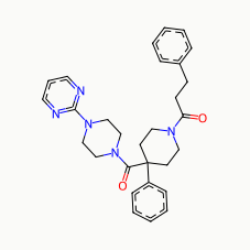 O=C(CCc1ccccc1)N1CCC(C(=O)N2CCN(c3ncccn3)CC2)(c2ccccc2)CC1